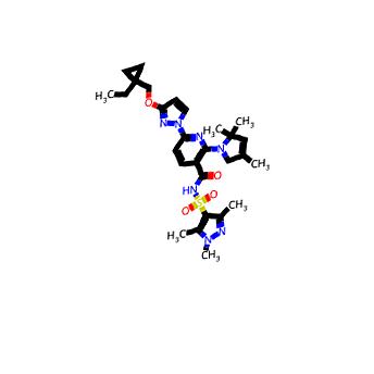 CCC1(COc2ccn(-c3ccc(C(=O)NS(=O)(=O)c4c(C)nn(C)c4C)c(N4CC(C)=CC4(C)C)n3)n2)CC1